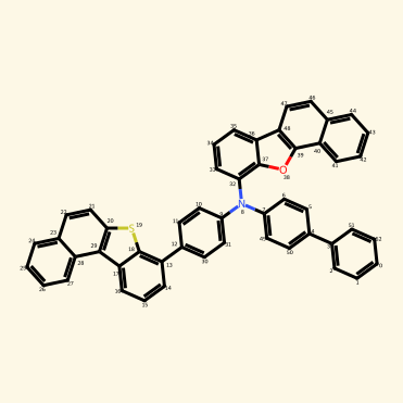 c1ccc(-c2ccc(N(c3ccc(-c4cccc5c4sc4ccc6ccccc6c45)cc3)c3cccc4c3oc3c5ccccc5ccc43)cc2)cc1